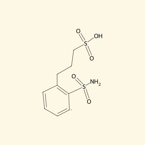 NS(=O)(=O)c1[c]cccc1CCCS(=O)(=O)O